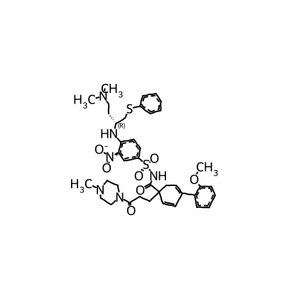 COc1ccccc1C1=CCC(CCC(=O)N2CCN(C)CC2)(C(=O)NS(=O)(=O)c2ccc(N[C@H](CCN(C)C)CSc3ccccc3)c([N+](=O)[O-])c2)C=C1